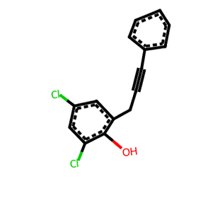 Oc1c(Cl)cc(Cl)cc1CC#Cc1ccccc1